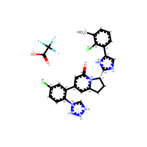 O=C(O)C(F)(F)F.O=C(O)c1cccc(-c2cnc([C@@H]3CCc4cc(-c5cc(Cl)ccc5-n5cnnn5)cc(=O)n43)[nH]2)c1Cl